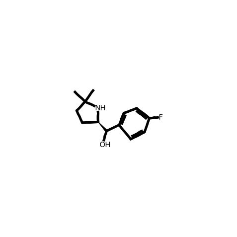 CC1(C)CC[C@H](C(O)c2ccc(F)cc2)N1